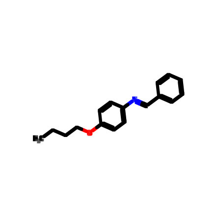 CCCCOc1ccc(N=Cc2ccccc2)cc1